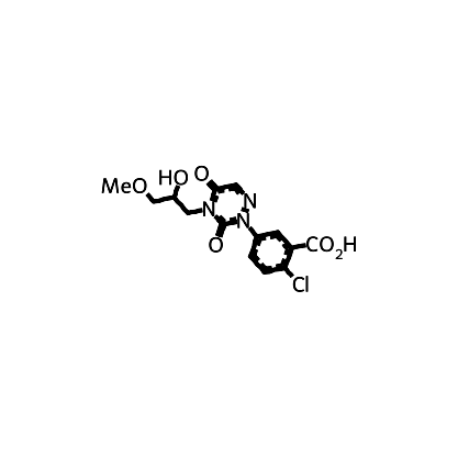 COCC(O)Cn1c(=O)cnn(-c2ccc(Cl)c(C(=O)O)c2)c1=O